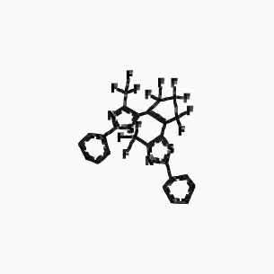 FC(F)(F)c1nc(-c2ccccc2)sc1C1=C(c2sc(-c3ccccc3)nc2C(F)(F)F)C(F)(F)C(F)(F)C1(F)F